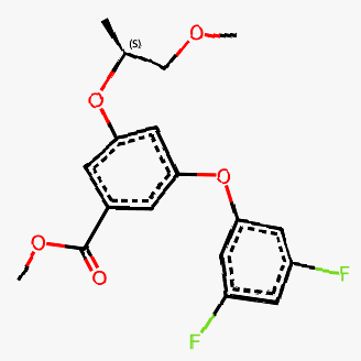 COC[C@H](C)Oc1cc(Oc2cc(F)cc(F)c2)cc(C(=O)OC)c1